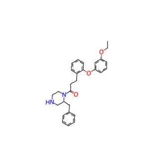 CCOc1cccc(Oc2ccccc2CCC(=O)N2CCNCC2Cc2ccccc2)c1